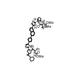 COC(=O)N[C@H](C(=O)N1CC2(CC2C2CCCCC2)C[C@H]1c1ncc(-c2ccc(-c3ccc4cc(-c5cnc([C@@H]6[C@H]7CC[C@H](C7)N6C(=O)[C@@H](NC(=O)OC)C(C)(C)OC)[nH]5)ccc4c3)cc2)[nH]1)C(C)C